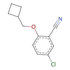 N#Cc1cc(Cl)ccc1OCC1CCC1